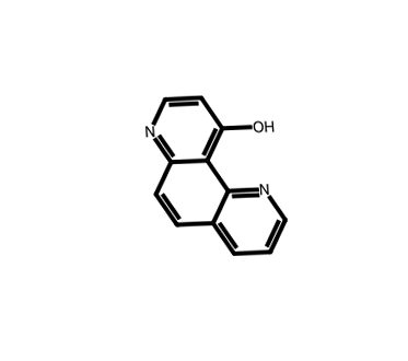 Oc1ccnc2ccc3cccnc3c12